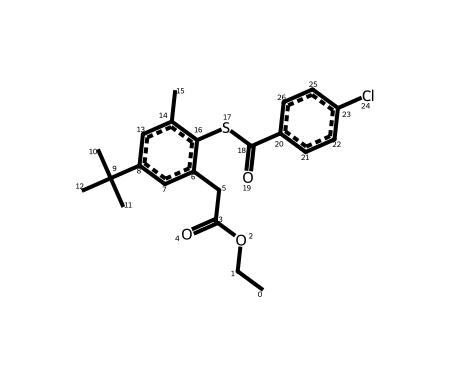 CCOC(=O)Cc1cc(C(C)(C)C)cc(C)c1SC(=O)c1ccc(Cl)cc1